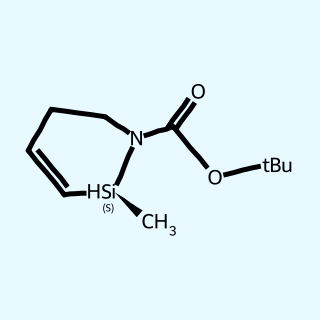 C[Si@H]1C=CCCN1C(=O)OC(C)(C)C